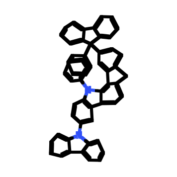 c1ccc(-n2c3ccc(-n4c5ccccc5c5ccccc54)cc3c3ccc4c(c32)-c2cc(C3(c5ccccc5)c5ccccc5-c5ccccc53)ccc2C4)cc1